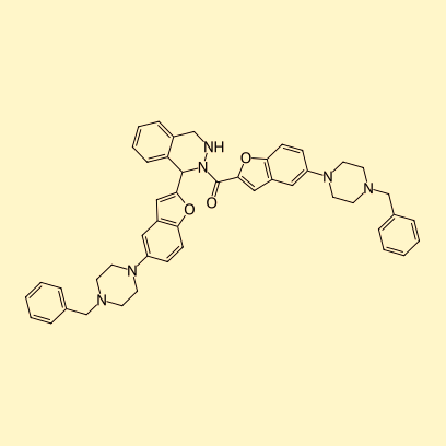 O=C(c1cc2cc(N3CCN(Cc4ccccc4)CC3)ccc2o1)N1NCc2ccccc2C1c1cc2cc(N3CCN(Cc4ccccc4)CC3)ccc2o1